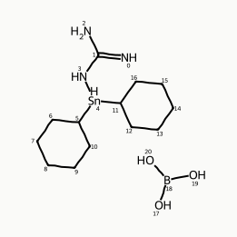 N=C(N)[NH][SnH]([CH]1CCCCC1)[CH]1CCCCC1.OB(O)O